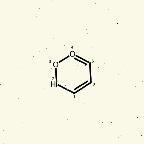 C1=C[IH]O[O+]=C1